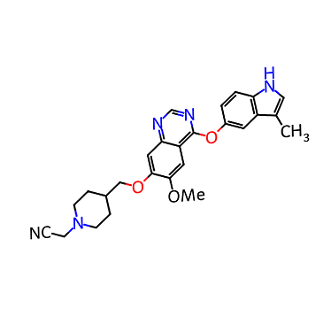 COc1cc2c(Oc3ccc4[nH]cc(C)c4c3)ncnc2cc1OCC1CCN(CC#N)CC1